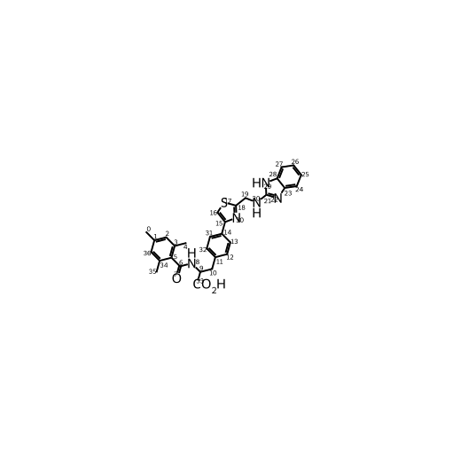 Cc1cc(C)c(C(=O)NC(Cc2ccc(-c3csc(CNc4nc5ccccc5[nH]4)n3)cc2)C(=O)O)c(C)c1